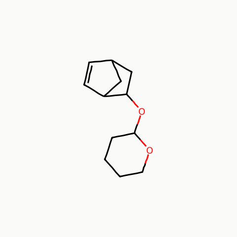 C1=CC2CC1CC2OC1CCCCO1